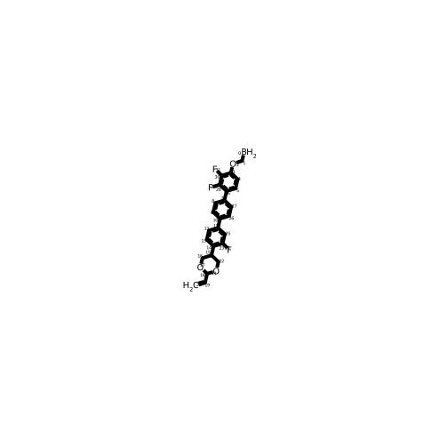 BCOc1ccc(-c2ccc(-c3ccc(C4COC(C=C)OC4)c(F)c3)cc2)c(F)c1F